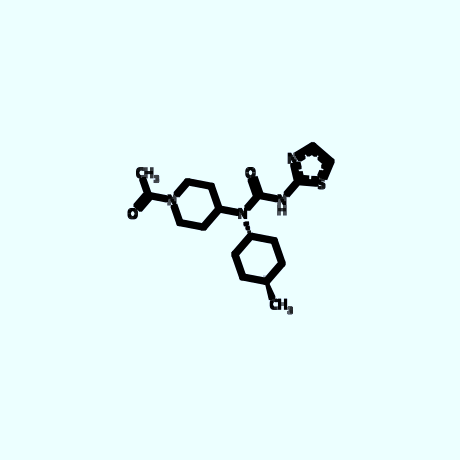 CC(=O)N1CCC(N(C(=O)Nc2nccs2)[C@H]2CC[C@H](C)CC2)CC1